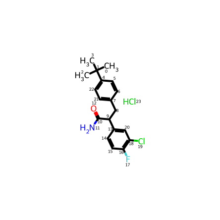 CC(C)(C)c1ccc(CC(C(N)=O)c2ccc(F)c(Cl)c2)cc1.Cl